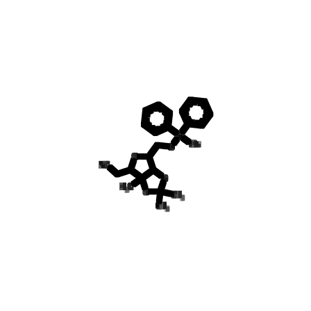 CC1(C)OC2C(CO[Si](c3ccccc3)(c3ccccc3)C(C)(C)C)OC(CC#N)C2(C)O1